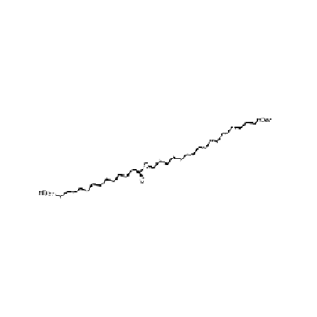 CCCCCCCCCCCCCCCCCCCCCCCCCCCOC(=O)CCCCCCCCCCCCCCCCCCCCCC